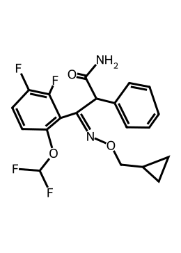 NC(=O)C(/C(=N\OCC1CC1)c1c(OC(F)F)ccc(F)c1F)c1ccccc1